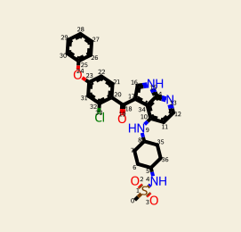 CS(=O)(=O)NC1CCC(Nc2ccnc3[nH]cc(C(=O)c4ccc(Oc5ccccc5)cc4Cl)c23)CC1